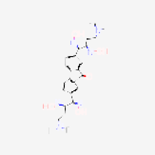 CCN(CC)CCC(=NO)C(=NO)c1ccc2c(c1)C(=O)c1cc(C(=NO)C(CCN(CC)CC)=NO)ccc1-2